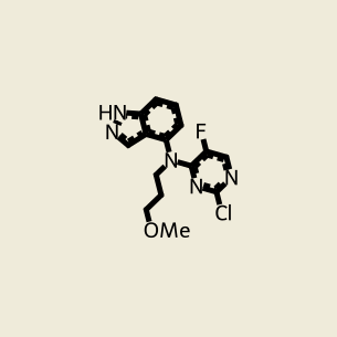 COCCCN(c1nc(Cl)ncc1F)c1cccc2[nH]ncc12